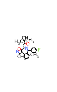 Cc1cccc2c1C(c1ccc(F)cc1)=N[C@@H](CC(=O)C(C)(C)C)c1onc(C)c1-2